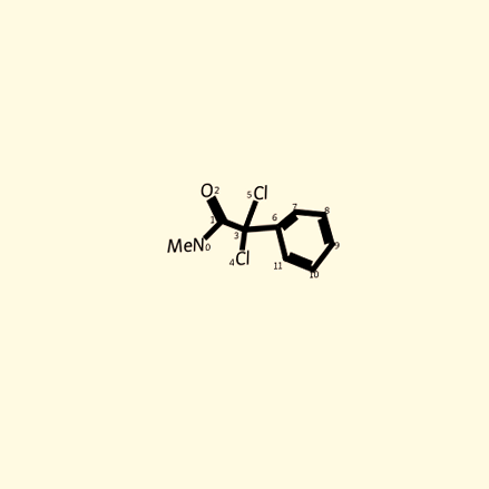 CNC(=O)C(Cl)(Cl)c1ccccc1